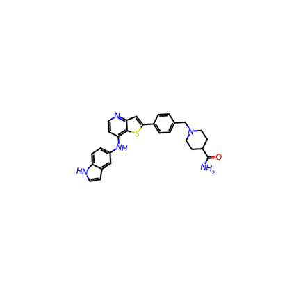 NC(=O)C1CCN(Cc2ccc(-c3cc4nccc(Nc5ccc6[nH]ccc6c5)c4s3)cc2)CC1